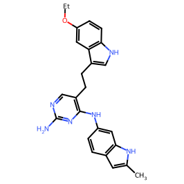 CCOc1ccc2[nH]cc(CCc3cnc(N)nc3Nc3ccc4cc(C)[nH]c4c3)c2c1